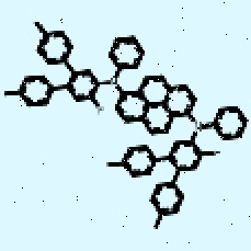 Cc1ccc(-c2cc(F)c(N(c3ccccc3)c3ccc4ccc5c(N(c6ccccc6)c6cc(-c7ccc(C)cc7)c(-c7ccc(C)cc7)cc6F)ccc6ccc3c4c65)cc2-c2ccc(C)cc2)cc1